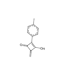 C=C1C(=O)C(c2ccc(C)cc2)=C1O